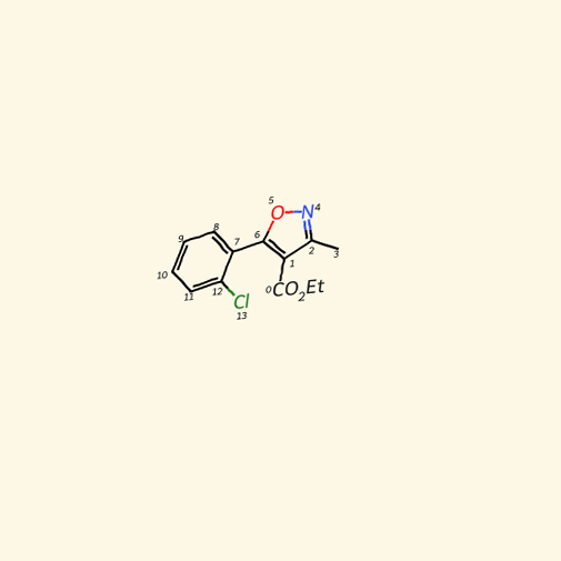 CCOC(=O)c1c(C)noc1-c1ccccc1Cl